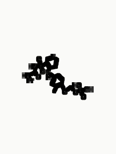 Cc1cc(Nc2ccncc2S(=O)(=O)NC(=O)NC(C)C)ccc1OCOP(=O)(O)O